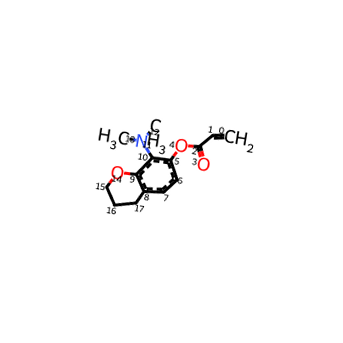 C=CC(=O)Oc1ccc2c(c1N(C)C)OCCC2